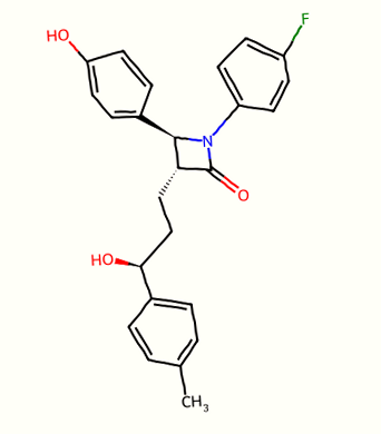 Cc1ccc([C@@H](O)CC[C@H]2C(=O)N(c3ccc(F)cc3)[C@@H]2c2ccc(O)cc2)cc1